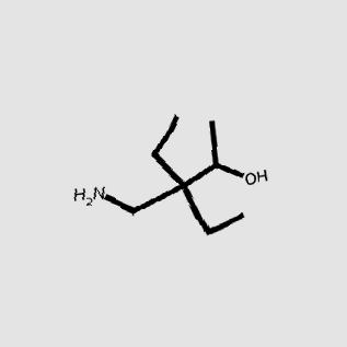 CCC([CH]N)(CC)C(C)O